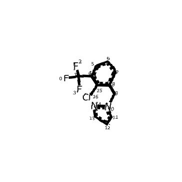 FC(F)(F)c1cccc(Cn2c[c]cn2)c1Cl